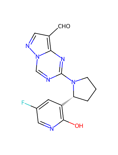 O=Cc1cnn2cnc(N3CCC[C@@H]3c3cc(F)cnc3O)nc12